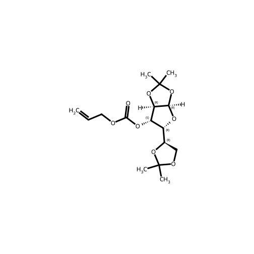 C=CCOC(=O)O[C@@H]1[C@H]2OC(C)(C)O[C@H]2O[C@@H]1[C@H]1COC(C)(C)O1